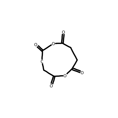 O=C1CCC(=O)OC(=O)CCC(=O)O1